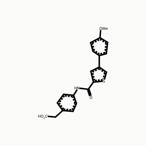 COc1ccc(-c2csc(C(=O)Nc3ccc(CC(=O)O)cc3)c2)cc1